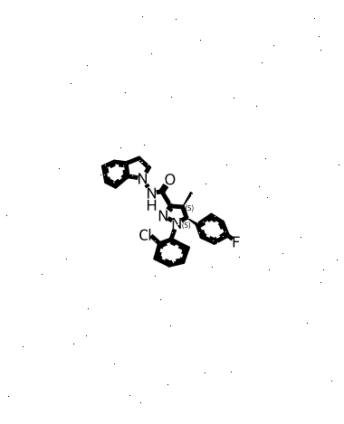 C[C@@H]1C(C(=O)NN2CCc3ccccc32)=NN(c2ccccc2Cl)[C@@H]1c1ccc(F)cc1